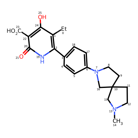 CCc1c(-c2ccc(N3CCC4(CCN(C)C4)C3)cc2)[nH]c(=O)c(C(=O)O)c1O